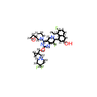 CCc1c(F)ccc2cc(O)cc(-c3ncc4c(N5CCC[C@]6(CCO6)C5)nc(OCC5(CN6CCC(F)(F)CC6)CC5)nc4c3F)c12